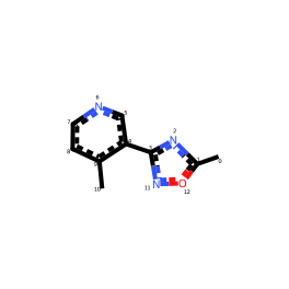 Cc1nc(-c2cnccc2C)no1